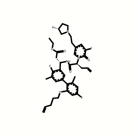 C=CCCCOc1cc(F)cc(C)c1-c1cc(C)c(F)c([C@H](CC(=O)OCC)NC(=O)[C@H](CC=C)n2cc(CCN3CC[C@@H](F)C3)cc(F)c2=O)c1